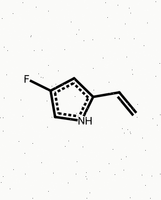 C=Cc1cc(F)c[nH]1